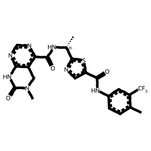 Cc1ccc(NC(=O)c2cnc([C@@H](C)NC(=O)c3ncnc4c3CN(C)C(=O)N4)s2)cc1C(F)(F)F